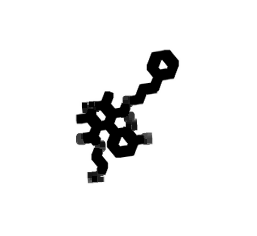 CC1=C(C(=O)OCC=Cc2ccccc2)C(c2cccc(Cl)c2Cl)C(C(=O)OCCC#N)=C(C)N1